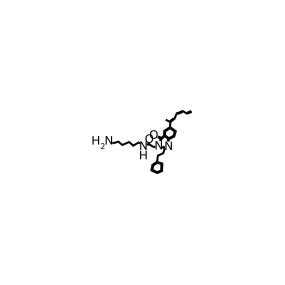 C=C/C=C\C=C(/C)c1ccc2nc(CCc3ccccc3)n(CC(=O)NCCCCCCN)c(=O)c2c1